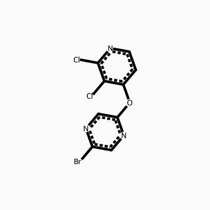 Clc1nccc(Oc2cnc(Br)cn2)c1Cl